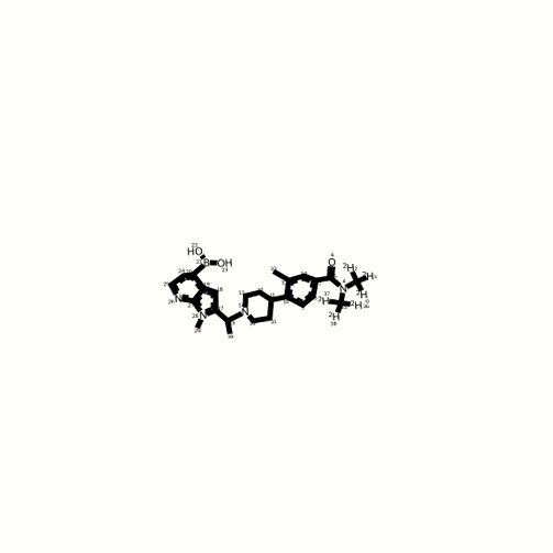 [2H]C([2H])([2H])N(C(=O)c1ccc(C2CCN(C(C)c3cc4c(B(O)O)ccnc4n3C)CC2)c(C)c1)C([2H])([2H])[2H]